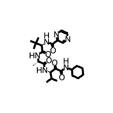 CC(C)[C@H](NC(=O)[C@H](C)NC(=O)[C@@H](NC(=O)c1cnccn1)C(C)(C)C)C(=O)C(=O)NC1CCCCC1